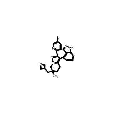 CC1(CC2COC2)CCc2c(-c3ccnc4[nH]ncc34)c(-c3ccc(F)cn3)nn2C1